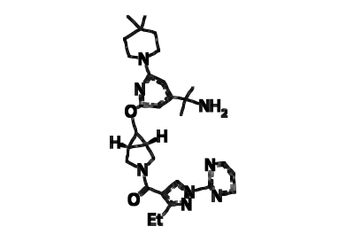 CCc1nn(-c2ncccn2)cc1C(=O)N1C[C@@H]2C(Oc3cc(C(C)(C)N)cc(N4CCC(C)(C)CC4)n3)[C@@H]2C1